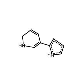 C1=CC(c2ccc[nH]2)=CNC1